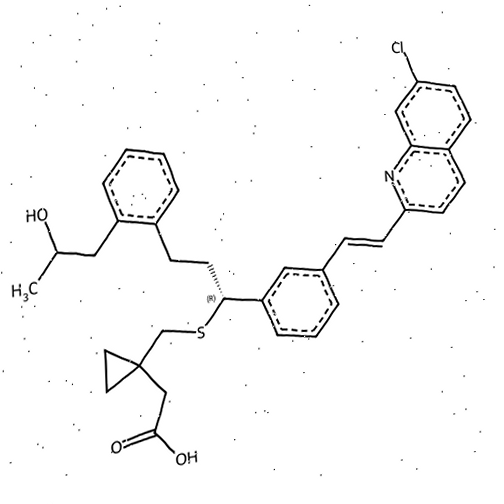 CC(O)Cc1ccccc1CC[C@@H](SCC1(CC(=O)O)CC1)c1cccc(C=Cc2ccc3ccc(Cl)cc3n2)c1